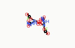 CC(=O)c1ccc(OCCCN(CCNc2cc(=O)n(C)c(=O)n2C)CCOC(=O)C(=O)OCCN(CCCOc2ccc(C(C)=O)cc2F)CCNc2cc(=O)n(C)c(=O)n2C)c(F)c1